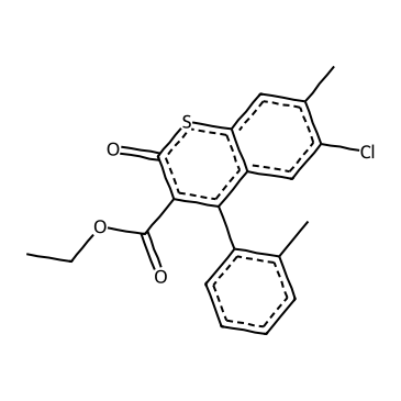 CCOC(=O)c1c(-c2ccccc2C)c2cc(Cl)c(C)cc2sc1=O